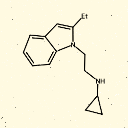 [CH2]Cc1cc2ccccc2n1CCNC1CC1